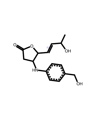 CC(O)/C=C/C1OC(=O)CC1Nc1ccc(CO)cc1